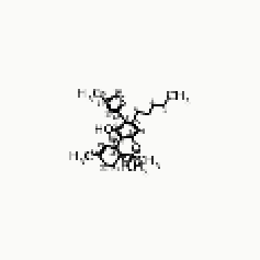 CCCCCc1cc2c(c(O)c1-c1cc(C)cs1)[C@@H]1C=C(C)CC[C@H]1C(C)(C)O2